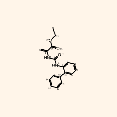 C=C(NC(=O)Nc1ccccc1-c1ccccc1)C(=O)OCC